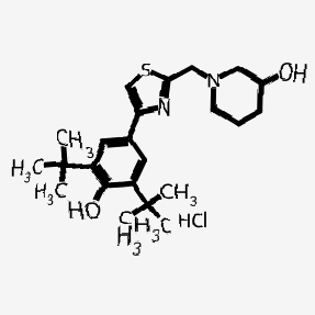 CC(C)(C)c1cc(-c2csc(CN3CCCC(O)C3)n2)cc(C(C)(C)C)c1O.Cl